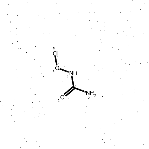 NC(=O)NOCl